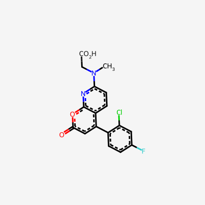 CN(CC(=O)O)c1ccc2c(-c3ccc(F)cc3Cl)cc(=O)oc2n1